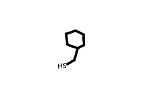 SC[C]1CCCCC1